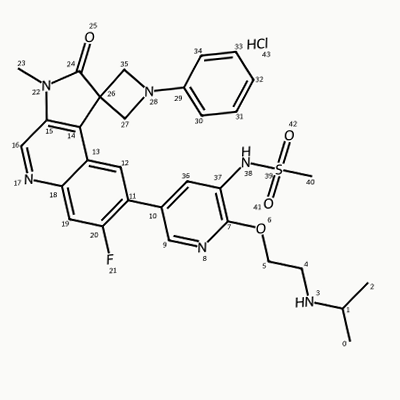 CC(C)NCCOc1ncc(-c2cc3c4c(cnc3cc2F)N(C)C(=O)C42CN(c3ccccc3)C2)cc1NS(C)(=O)=O.Cl